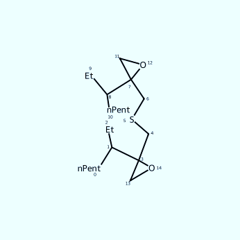 CCCCCC(CC)C1(CSCC2(C(CC)CCCCC)CO2)CO1